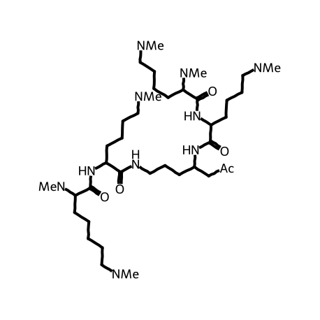 CNCCCCCC(NC)C(=O)NC(CCCCNC)C(=O)NCCCC(CC(C)=O)NC(=O)C(CCCCNC)NC(=O)C(CCCCNC)NC